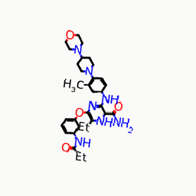 CCC(=O)NC1C=CC=C(OC2=C(CC)NC(C(N)=O)C(NC3C=CC(N4CCC(N5CCOCC5)CC4)=C(C)C3)=N2)C1